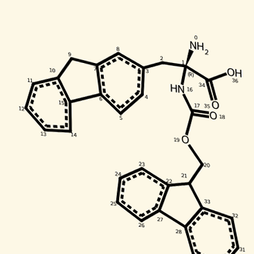 N[C@](Cc1ccc2c(c1)Cc1ccccc1-2)(NC(=O)OCC1c2ccccc2-c2ccccc21)C(=O)O